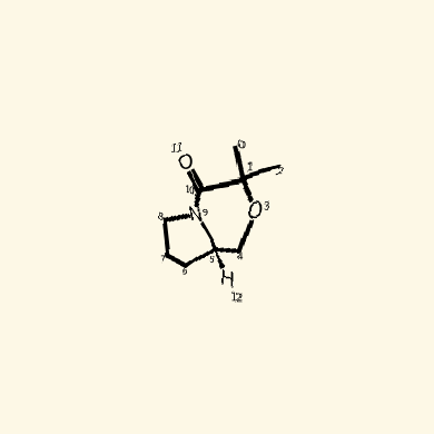 CC1(C)OC[C@@H]2CCCN2C1=O